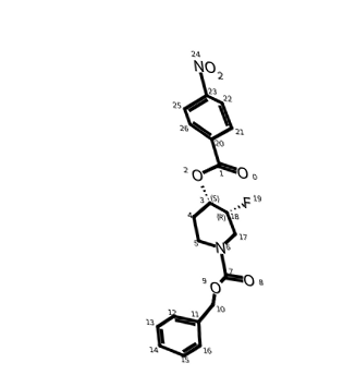 O=C(O[C@H]1CCN(C(=O)OCc2ccccc2)C[C@H]1F)c1ccc([N+](=O)[O-])cc1